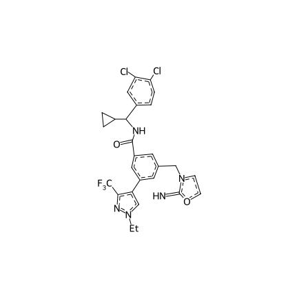 CCn1cc(-c2cc(Cn3ccoc3=N)cc(C(=O)NC(c3ccc(Cl)c(Cl)c3)C3CC3)c2)c(C(F)(F)F)n1